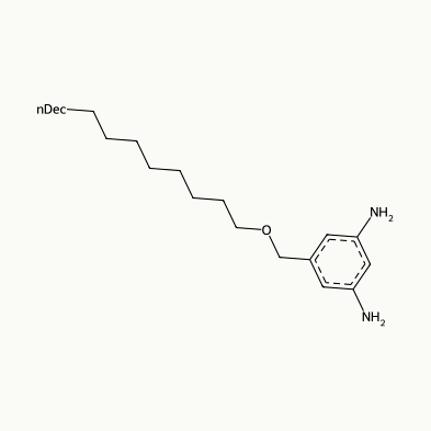 CCCCCCCCCCCCCCCCCCOCc1cc(N)cc(N)c1